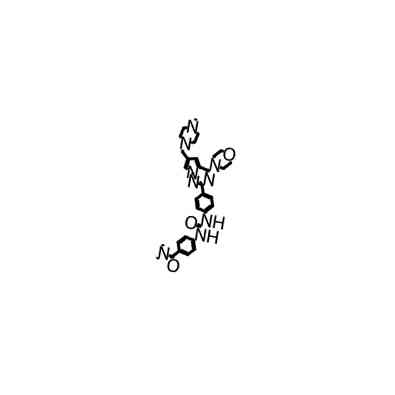 CN1CCN(Cc2cc3c(N4CCOCC4)nc(-c4ccc(NC(=O)Nc5ccc(C(=O)N(C)C)cc5)cc4)nn3c2)CC1